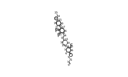 C=CCCOc1ccc(C2CCC(CCc3ccc(-c4ccc(OCC)cc4)c(F)c3F)CC2)c(F)c1